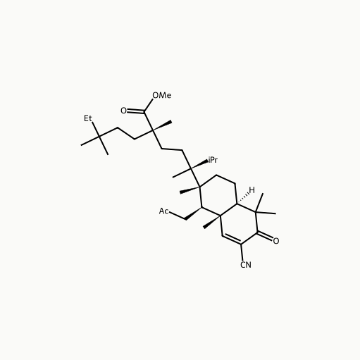 CCC(C)(C)CC[C@@](C)(CC[C@](C)(C(C)C)[C@]1(C)CC[C@H]2C(C)(C)C(=O)C(C#N)=C[C@]2(C)[C@H]1CC(C)=O)C(=O)OC